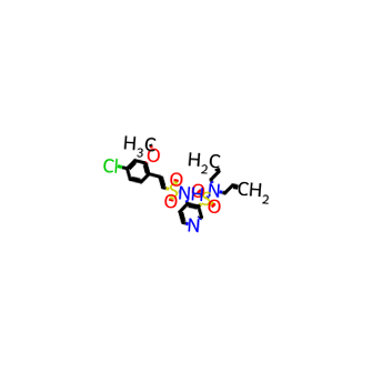 C=CCN(CC=C)S(=O)(=O)c1cnccc1NS(=O)(=O)C=Cc1ccc(Cl)cc1OC